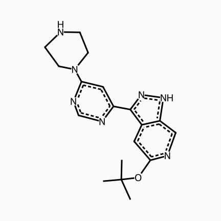 CC(C)(C)Oc1cc2c(-c3cc(N4CCNCC4)ncn3)n[nH]c2cn1